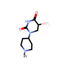 BC1CN(C2CCN(C(C)C)CC2)C(=O)NC1=O